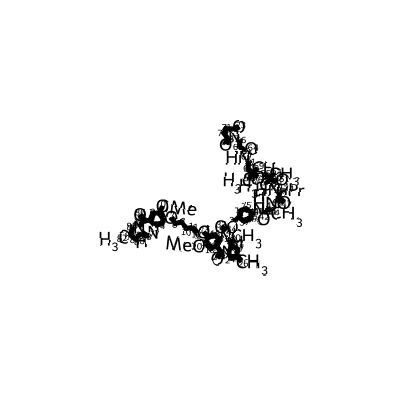 COc1cc2c(cc1OCCCCCOc1cc3c(cc1OC)C(=O)N1C=C(C)C[C@H]1C(C)N3C(=O)OCc1ccc(NC(=O)[C@H](C)NC(=O)[C@@H](NC(=O)C(C)(C)COC(C)(C)CCNC(=O)CCN3C(=O)C=CC3=O)C(C)C)cc1)N=C[C@@H]1CC(C)=CN1C2=O